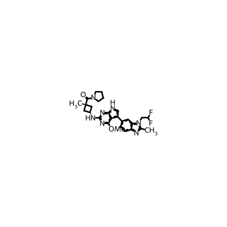 COc1nc(N[C@H]2C[C@@](C)(C(=O)N3CCCC3)C2)nc2[nH]cc(-c3ccc4nc(C)n(CC(F)F)c4c3)c12